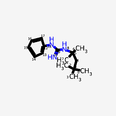 CC(C)(C)CC(C)(C)NC(=N)Nc1ccccc1